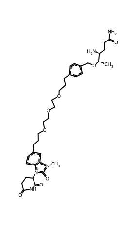 C[C@@H](OCc1ccc(CCCOCCOCCOCCCc2ccc3c(c2)n(C)c(=O)n3C2CCC(=O)NC2=O)cc1)[C@@H](N)CCC(N)=O